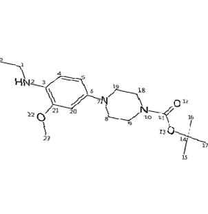 CCNc1ccc(N2CCN(C(=O)OC(C)(C)C)CC2)cc1OC